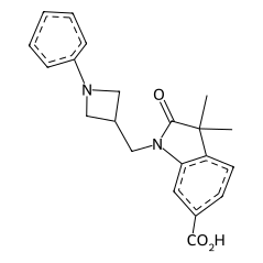 CC1(C)C(=O)N(CC2CN(c3ccccc3)C2)c2cc(C(=O)O)ccc21